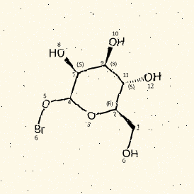 OC[C@H]1OC(OBr)[C@@H](O)[C@@H](O)[C@@H]1O